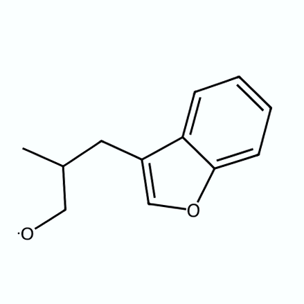 CC(C[O])Cc1coc2ccccc12